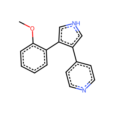 COc1ccccc1-c1c[nH]cc1-c1ccncc1